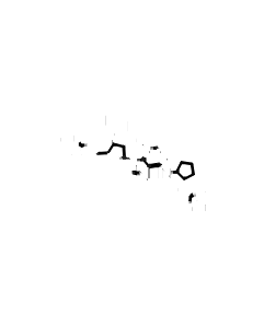 CCCC(=O)OCC1OC(n2cnc3c(NC4CCC[C@@H]4OC(=O)CCC)ncnc32)[C@H](O)[C@@H]1O